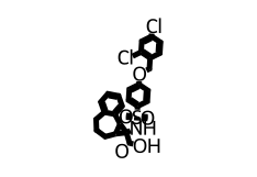 O=C(O)C1(NS(=O)(=O)c2ccc(OCc3ccc(Cl)cc3Cl)cc2)C2CCCc3ccccc3C21